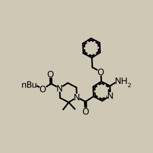 CCCCOC(=O)N1CCN(C(=O)c2cnc(N)c(OCc3ccccc3)c2)C(C)(C)C1